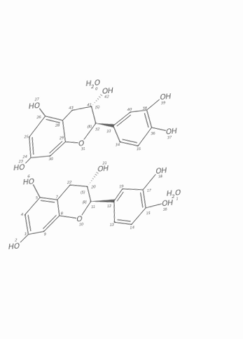 O.O.Oc1cc(O)c2c(c1)O[C@H](c1ccc(O)c(O)c1)[C@@H](O)C2.Oc1cc(O)c2c(c1)O[C@H](c1ccc(O)c(O)c1)[C@@H](O)C2